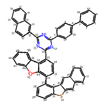 c1ccc(-c2ccc(-c3nc(-c4ccc5ccccc5c4)nc(-c4ccc(-c5cccc6sc7cc8ccccc8cc7c56)c5oc6ccccc6c45)n3)cc2)cc1